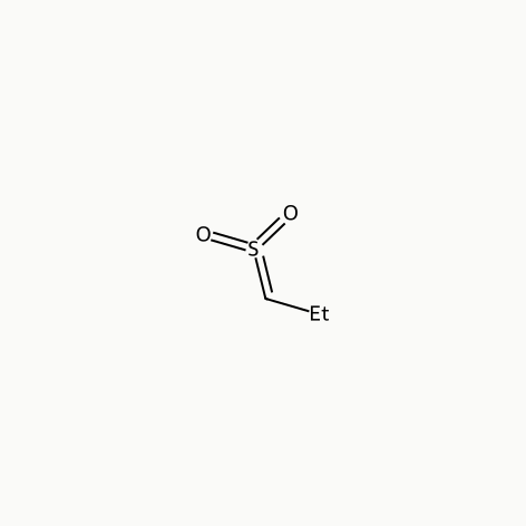 [CH2]CC=S(=O)=O